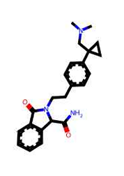 CN(C)CC1(c2ccc(CCN3C(=O)c4[c]cccc4C3C(N)=O)cc2)CC1